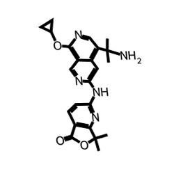 CC(C)(N)c1cnc(OC2CC2)c2cnc(Nc3ccc4c(n3)C(C)(C)OC4=O)cc12